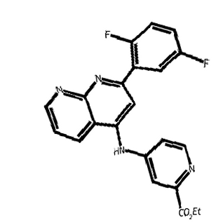 CCOC(=O)c1cc(Nc2cc(-c3cc(F)ccc3F)nc3ncccc23)ccn1